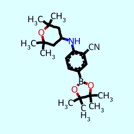 CC1(C)CC(Nc2ccc(B3OC(C)(C)C(C)(C)O3)cc2C#N)CC(C)(C)O1